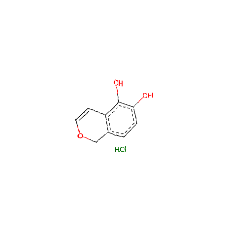 Cl.Oc1ccc2c(c1O)C=COC2